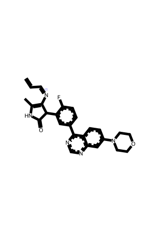 C=C/C=N\C1=C(C)NC(=O)C1c1cc(-c2ncnc3cc(N4CCOCC4)ccc23)ccc1F